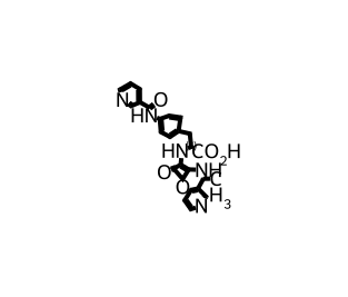 CC(Nc1c(N[C@@H](Cc2ccc(NC(=O)c3cccnc3)cc2)C(=O)O)c(=O)c1=O)c1cccnc1